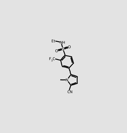 CCNS(=O)(=O)c1ccc(-c2ccc(C#N)n2C)cc1C(F)(F)F